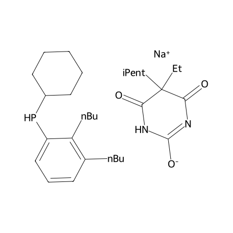 CCCC(C)C1(CC)C(=O)N=C([O-])NC1=O.CCCCc1cccc(PC2CCCCC2)c1CCCC.[Na+]